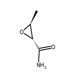 C[C@@H]1O[C@H]1C(N)=O